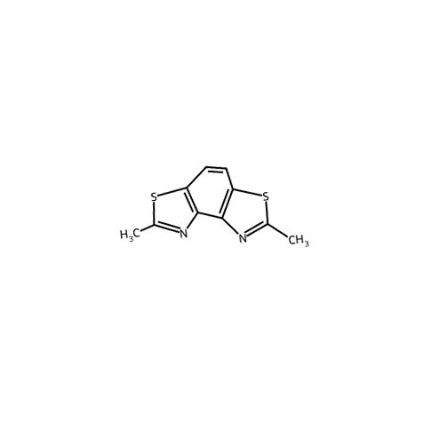 Cc1nc2c(ccc3sc(C)nc32)s1